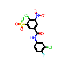 O=C(Nc1ccc(F)c(Cl)c1)c1cc([N+](=O)[O-])c(Cl)c(S(=O)(=O)Cl)c1